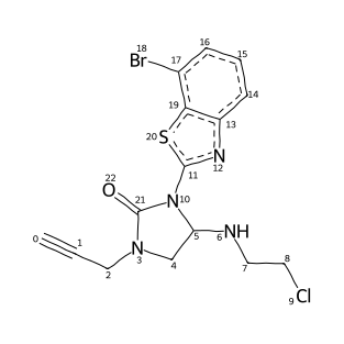 C#CCN1CC(NCCCl)N(c2nc3cccc(Br)c3s2)C1=O